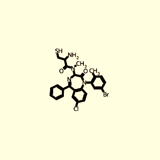 Cc1ccc(Br)cc1N1C(=O)C(N(C)C(=O)C(N)CS)N=C(c2ccccc2)c2cc(Cl)ccc21